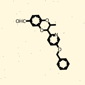 CC1Oc2ccc(C=O)cc2OC1c1ccc(OCc2ccccc2)cn1